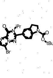 CC(C)n1c(-c2ccc3c(c2)CCN3C(=O)OC(C)(C)C)nn2c(Br)cnc2c1=O